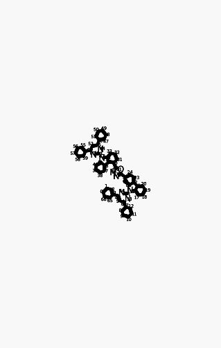 c1ccc(-c2cc(-c3ccccc3)nc(-n3c4ccccc4c4ccc(-c5nnc(-c6cccc7c6c6ccccc6n7-c6nc(-c7ccccc7)cc(-c7ccccc7)n6)o5)cc43)n2)cc1